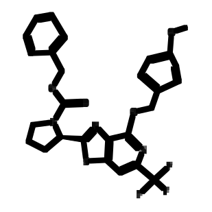 COc1ccc(COc2nc(C(F)(F)F)cc3sc([C@H]4CCCN4C(=O)OCc4ccccc4)nc23)cc1